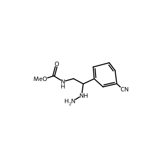 COC(=O)NCC(NN)c1cccc(C#N)c1